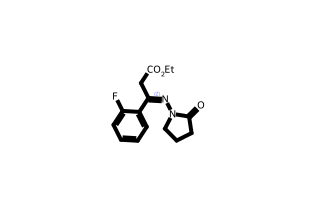 CCOC(=O)C/C(=N/N1CCCC1=O)c1ccccc1F